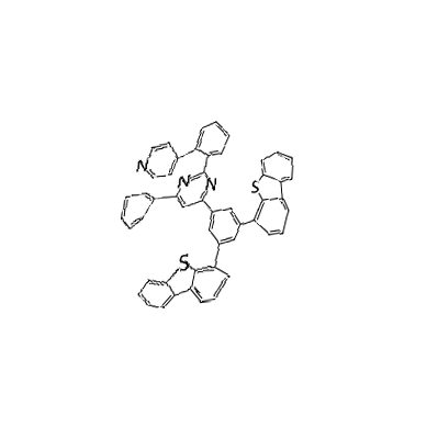 c1ccc(-c2cc(-c3cc(-c4cccc5c4sc4ccccc45)cc(-c4cccc5c4sc4ccccc45)c3)nc(-c3ccccc3-c3ccncc3)n2)cc1